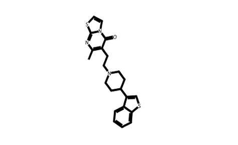 Cc1nc2sccn2c(=O)c1CCN1CCC(c2csc3ccccc23)CC1